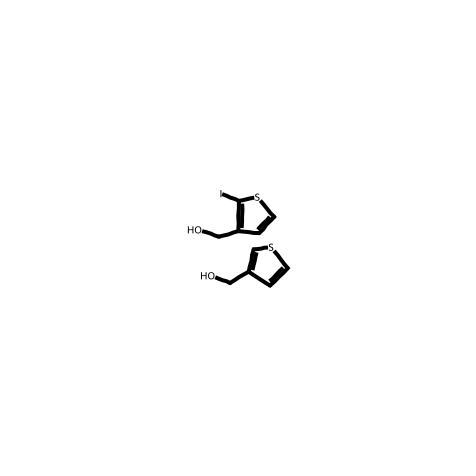 OCc1ccsc1.OCc1ccsc1I